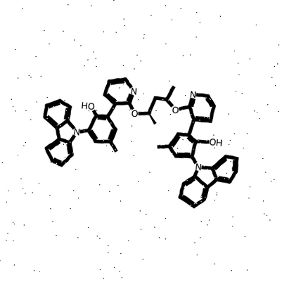 Cc1cc(-c2cccnc2OC(C)C[C@@H](C)Oc2ncccc2-c2cc(C)cc(-n3c4ccccc4c4ccccc43)c2O)c(O)c(-n2c3ccccc3c3ccccc32)c1